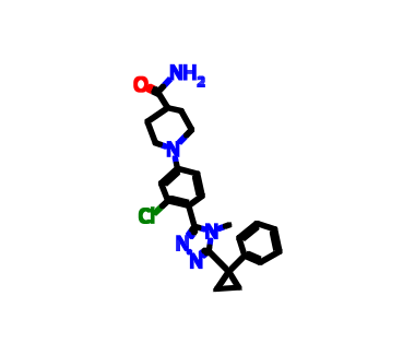 Cn1c(-c2ccc(N3CCC(C(N)=O)CC3)cc2Cl)nnc1C1(c2ccccc2)CC1